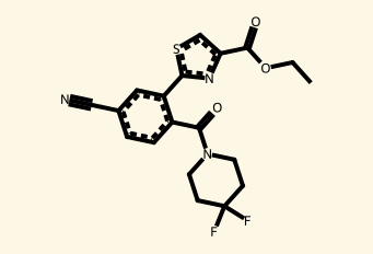 CCOC(=O)c1csc(-c2cc(C#N)ccc2C(=O)N2CCC(F)(F)CC2)n1